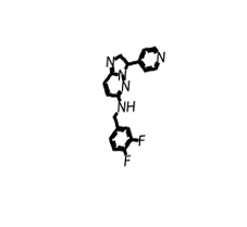 Fc1ccc(CNC2=NN3C(=NCC3c3ccncc3)C=C2)cc1F